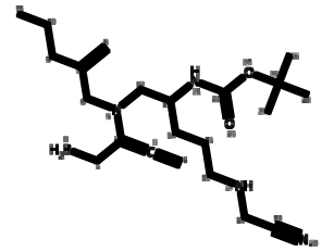 BCC(=C=C)N(CC(=C)CCC)CC(CCCNCC#N)NC(=O)OC(C)(C)C